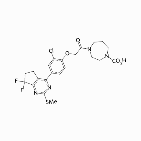 CSc1nc(-c2ccc(OCC(=O)N3CCCN(C(=O)O)CC3)c(Cl)c2)c2c(n1)C(F)(F)CC2